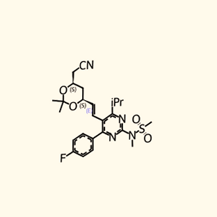 CC(C)c1nc(N(C)S(C)(=O)=O)nc(-c2ccc(F)cc2)c1/C=C/[C@@H]1C[C@H](CC#N)OC(C)(C)O1